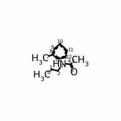 CCCNC(C)=O.Cc1ccccc1